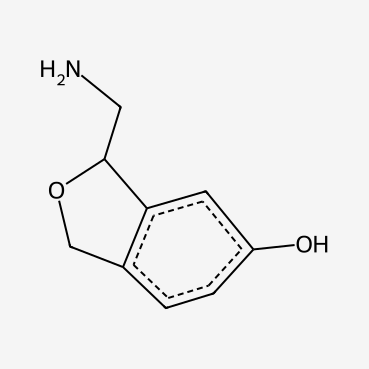 NCC1OCc2ccc(O)cc21